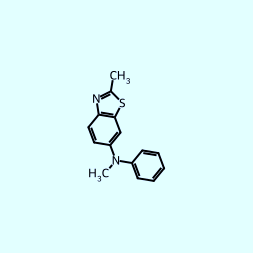 Cc1nc2ccc(N(C)c3ccccc3)cc2s1